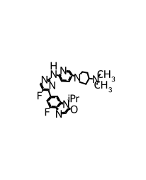 CC(C)n1c(=O)cnc2c(F)cc(-c3nc(Nc4ccc(N5CCC(N(C)C)CC5)cn4)ncc3F)cc21